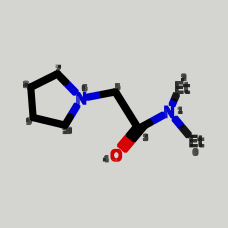 CCN(CC)C(=O)CN1CCCC1